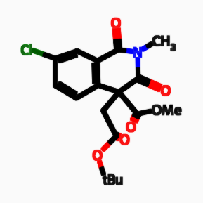 COC(=O)C1(CC(=O)OC(C)(C)C)C(=O)N(C)C(=O)c2cc(Cl)ccc21